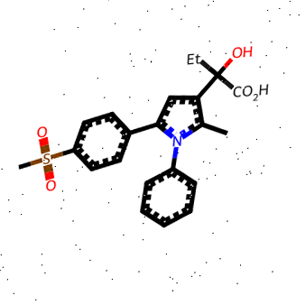 CCC(O)(C(=O)O)c1cc(-c2ccc(S(C)(=O)=O)cc2)n(-c2ccccc2)c1C